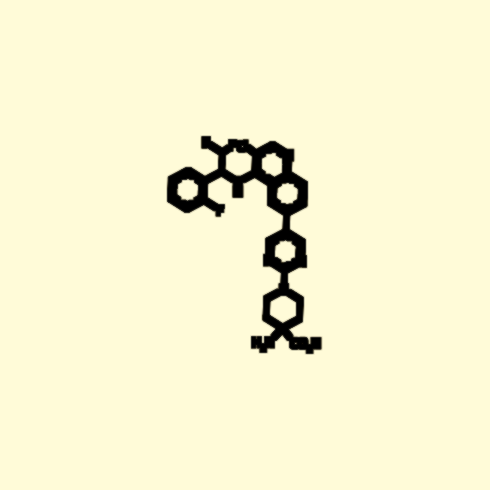 NC1(C(=O)O)CCN(c2ncc(-c3ccc4ncc(Cl)c(NC(c5ccccc5F)C(F)F)c4c3)cn2)CC1